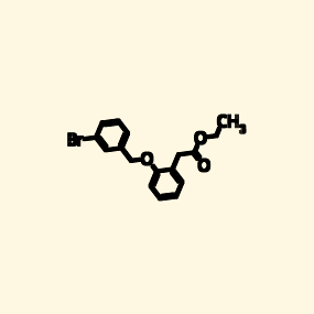 CCOC(=O)Cc1ccccc1OCc1cccc(Br)c1